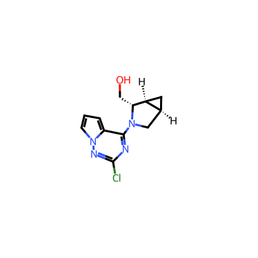 OC[C@@H]1[C@H]2C[C@H]2CN1c1nc(Cl)nn2cccc12